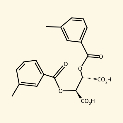 Cc1cccc(C(=O)O[C@H](C(=O)O)[C@H](OC(=O)c2cccc(C)c2)C(=O)O)c1